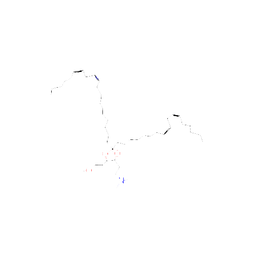 CCCCC/C=C\C/C=C\CCCCCCCCCC1(CCCCCCC/C=C\C/C=C\CCCCC)OC(CCOC)C(CCN(C)C)O1